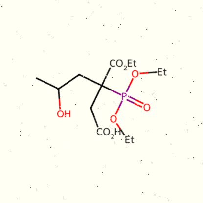 CCOC(=O)C(CC(=O)O)(CC(C)O)P(=O)(OCC)OCC